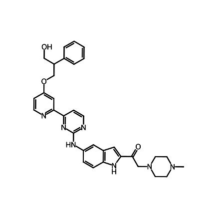 CN1CCN(CC(=O)c2cc3cc(Nc4nccc(-c5cc(OCC(CO)c6ccccc6)ccn5)n4)ccc3[nH]2)CC1